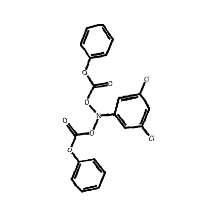 O=C(Oc1ccccc1)ON(OC(=O)Oc1ccccc1)c1cc(Cl)cc(Cl)c1